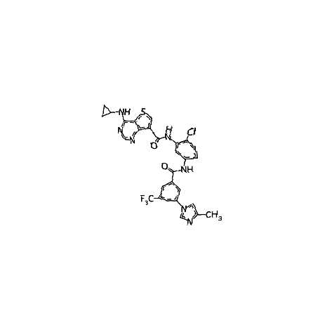 Cc1cn(-c2cc(C(=O)Nc3ccc(Cl)c(NC(=O)c4csc5c(NC6CC6)ncnc45)c3)cc(C(F)(F)F)c2)cn1